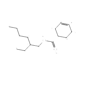 CCCCC(CC)COC(=O)[C@@H]1CC=CCC1